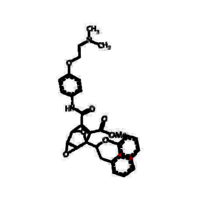 COC(=O)C1=C(C(=O)Nc2ccc(OCCN(C)C)cc2)C2OC1(C(Cc1ccccc1)Oc1ccccc1)C1OC21